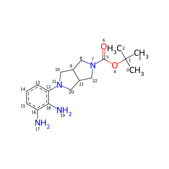 CC(C)(C)OC(=O)N1CC2CN(c3cccc(N)c3N)CC2C1